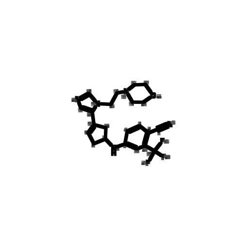 N#Cc1ccc(NC2CC=C(c3cncn3CCN3CCOCC3)C2)cc1C(F)(F)F